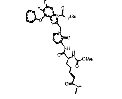 COC(=O)N[C@@H](CC/C=C/C(=O)N(C)C)C(=O)Nc1cccn(Cc2nc3c(Oc4ccccc4)c(F)c(F)cc3n2C(=O)OC(C)(C)C)c1=O